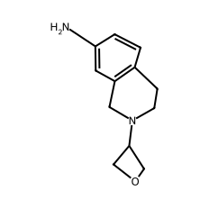 Nc1ccc2c(c1)CN(C1COC1)CC2